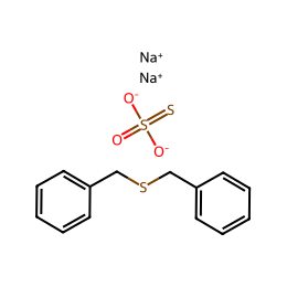 O=S([O-])([O-])=S.[Na+].[Na+].c1ccc(CSCc2ccccc2)cc1